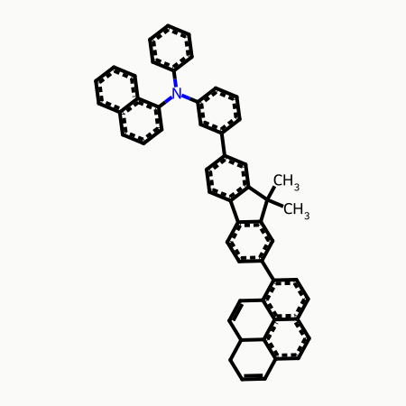 CC1(C)c2cc(-c3cccc(N(c4ccccc4)c4cccc5ccccc45)c3)ccc2-c2ccc(-c3ccc4ccc5c6c4c3C=CC6CC=C5)cc21